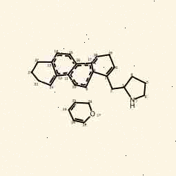 C1=C(CC2CCCN2)c2ccc3c4c(ccc3c2=CC1)CCCC=4.C1=CCOC=C1